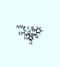 CCC(CCNC)NC(=O)c1n[nH]cc1NC(=O)c1ccccc1OC(F)(F)F